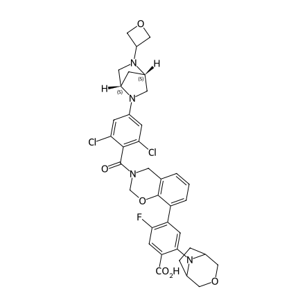 O=C(O)c1cc(F)c(-c2cccc3c2OCN(C(=O)c2c(Cl)cc(N4C[C@@H]5C[C@H]4CN5C4COC4)cc2Cl)C3)cc1N1C2CCC1COC2